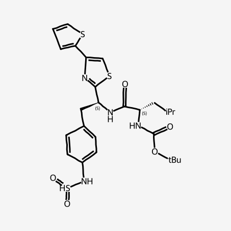 CC(C)C[C@H](NC(=O)OC(C)(C)C)C(=O)N[C@@H](Cc1ccc(N[SH](=O)=O)cc1)c1nc(-c2cccs2)cs1